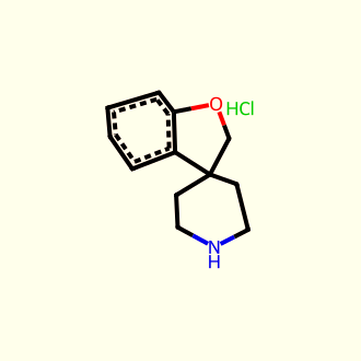 Cl.c1ccc2c(c1)OCC21CCNCC1